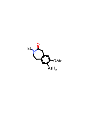 CCN1CCc2cc([AsH2])c(OC)cc2CC1=O